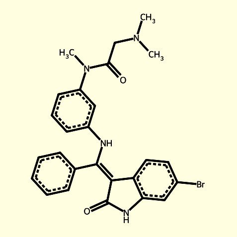 CN(C)CC(=O)N(C)c1cccc(NC(=C2C(=O)Nc3cc(Br)ccc32)c2ccccc2)c1